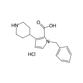 Cl.O=C(O)c1c(C2CCNCC2)ccn1Cc1ccccc1